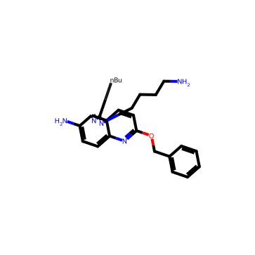 CCCCC1N=C2C(N)=CC=C3N=C(OCc4ccccc4)C=CC32N1CCCCN